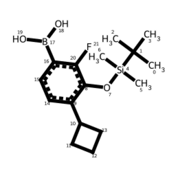 CC(C)(C)[Si](C)(C)Oc1c(C2CCC2)ccc(B(O)O)c1F